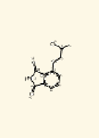 CC(Cl)CSc1cccc2c1C(=O)NC2=O